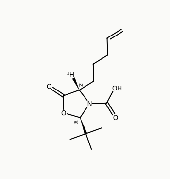 [2H][C@]1(CCCC=C)C(=O)O[C@H](C(C)(C)C)N1C(=O)O